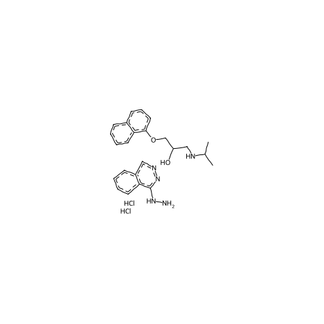 CC(C)NCC(O)COc1cccc2ccccc12.Cl.Cl.NNc1nncc2ccccc12